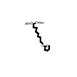 CO[C](CCCCCCCCOc1ccccc1)OC